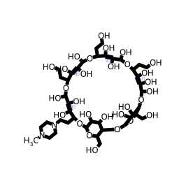 CN1CCN(CCC2OC3OC(CO)C(OC4OC(CO)C(OC(O)/C(O)=C(/O)C(CCO)OC(O)/C(O)=C(\O)C(CCO)OC(O)/C(O)=C(\O)C(CCO)OC(O)/C(O)=C/2O)C(O)C4O)C(O)C3O)CC1